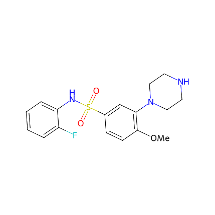 COc1ccc(S(=O)(=O)Nc2ccccc2F)cc1N1CCNCC1